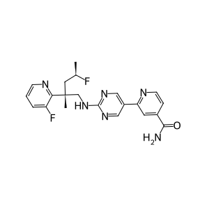 C[C@@H](F)C[C@](C)(CNc1ncc(-c2cc(C(N)=O)ccn2)cn1)c1ncccc1F